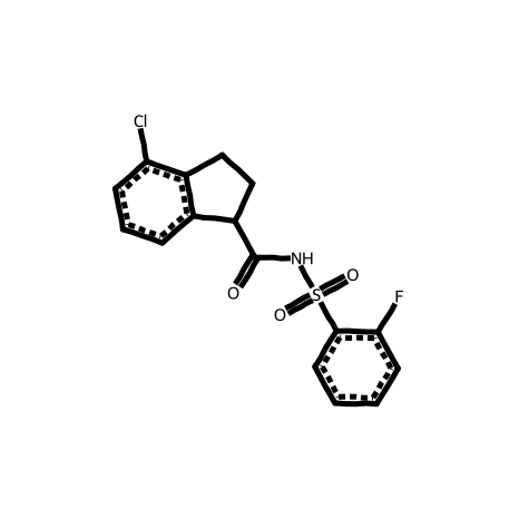 O=C(NS(=O)(=O)c1ccccc1F)C1CCc2c(Cl)cccc21